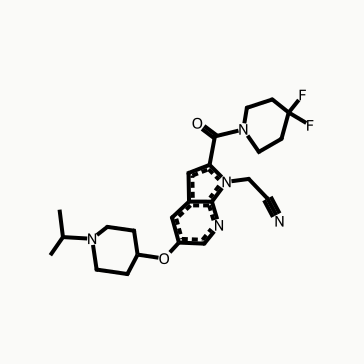 CC(C)N1CCC(Oc2cnc3c(c2)cc(C(=O)N2CCC(F)(F)CC2)n3CC#N)CC1